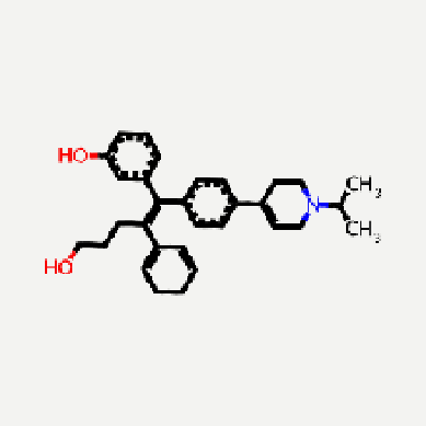 CC(C)N1CC=C(c2ccc(/C(=C(/CCCO)C3=CCCC=C3)c3cccc(O)c3)cc2)CC1